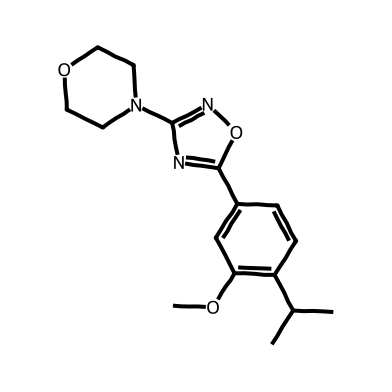 COc1cc(-c2nc(N3CCOCC3)no2)ccc1C(C)C